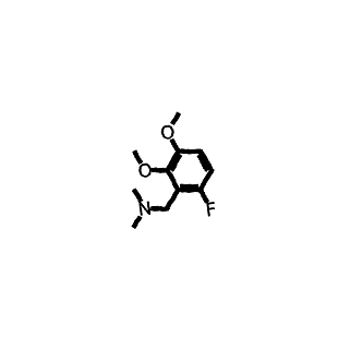 COc1ccc(F)c(CN(C)C)c1OC